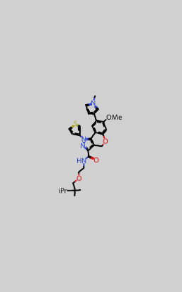 COc1cc2c(cc1-c1ccn(C)c1)-c1c(c(C(=O)NCCOCC(C)(C)C(C)C)nn1-c1ccsc1)CO2